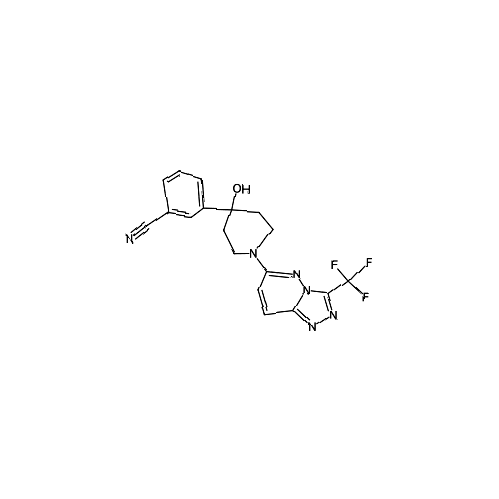 N#Cc1cccc(C2(O)CCN(c3ccc4nnc(C(F)(F)F)n4n3)CC2)c1